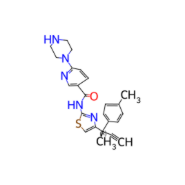 C#C[C@@](C)(c1ccc(C)cc1)c1csc(NC(=O)c2ccc(N3CCNCC3)nc2)n1